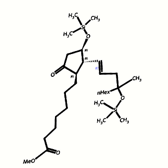 CCCCCCC(C)(C/C=C/[C@H]1[C@H](O[Si](C)(C)C)CC(=O)[C@@H]1CCCCCCC(=O)OC)O[Si](C)(C)C